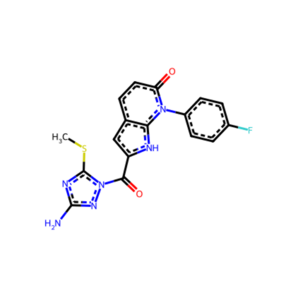 CSc1nc(N)nn1C(=O)c1cc2ccc(=O)n(-c3ccc(F)cc3)c2[nH]1